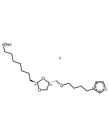 CCCCCCCCCCCCCCCCC[C@@H]1OC[C@@H](COCCCC[n+]2ccsc2)O1.[I-]